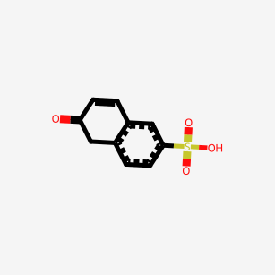 O=C1C=Cc2cc(S(=O)(=O)O)ccc2C1